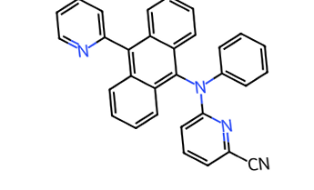 N#Cc1cccc(N(c2ccccc2)c2c3ccccc3c(-c3ccccn3)c3ccccc23)n1